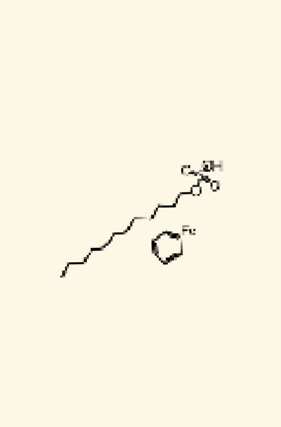 CCCCCCCCCCCCOS(=O)(=O)O.[Fe].c1ccccc1